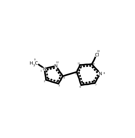 Cn1ccc(-c2ccnc(Cl)c2)n1